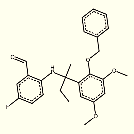 CCC(C)(Pc1ccc(F)cc1C=O)c1cc(OC)cc(OC)c1OCc1ccccc1